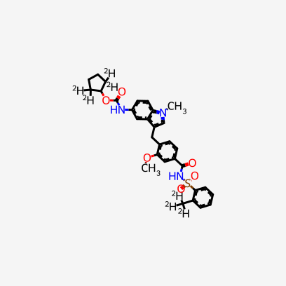 [2H]C([2H])([2H])c1ccccc1S(=O)(=O)NC(=O)c1ccc(Cc2cn(C)c3ccc(NC(=O)OC4C([2H])([2H])CCC4([2H])[2H])cc23)c(OC)c1